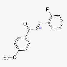 CCOc1ccc(C(=O)/C=C/c2ccccc2F)cc1